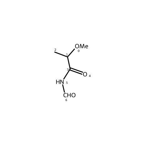 COC(C)C(=O)NC=O